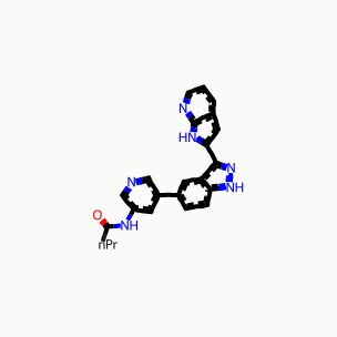 CCCC(=O)Nc1cncc(-c2ccc3[nH]nc(-c4cc5cccnc5[nH]4)c3c2)c1